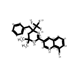 CC1(C)CC(Cc2ccccc2)(C(F)(F)F)N=C(c2cnc3c(F)cccc3c2)O1